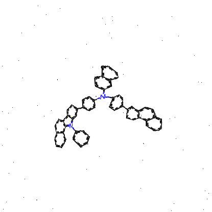 c1ccc(-n2c3cc(-c4ccc(N(c5ccc(-c6ccc7c(ccc8ccccc87)c6)cc5)c5ccc6ccccc6c5)cc4)ccc3c3ccc4ccccc4c32)cc1